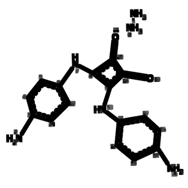 N.N.Nc1ccc(Nc2c(Nc3ccc(N)cc3)c(=O)c2=O)cc1